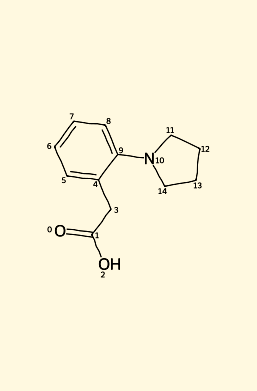 O=C(O)Cc1ccccc1N1CCCC1